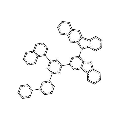 c1ccc(-c2cccc(-c3nc(-c4cc(-n5c6ccccc6c6cc7ccccc7cc65)c5oc6ccccc6c5c4)nc(-c4cccc5ccccc45)n3)c2)cc1